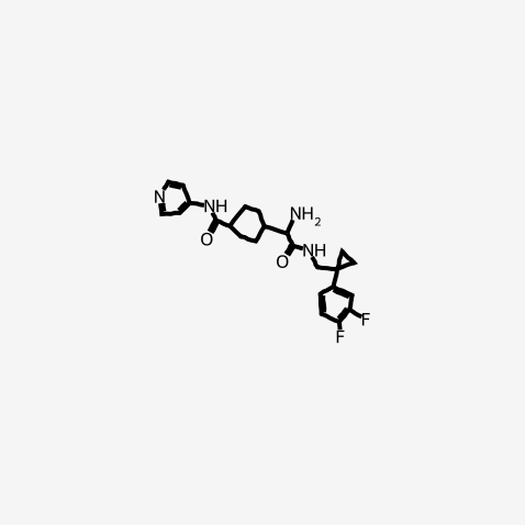 NC(C(=O)NCC1(c2ccc(F)c(F)c2)CC1)C1CCC(C(=O)Nc2ccncc2)CC1